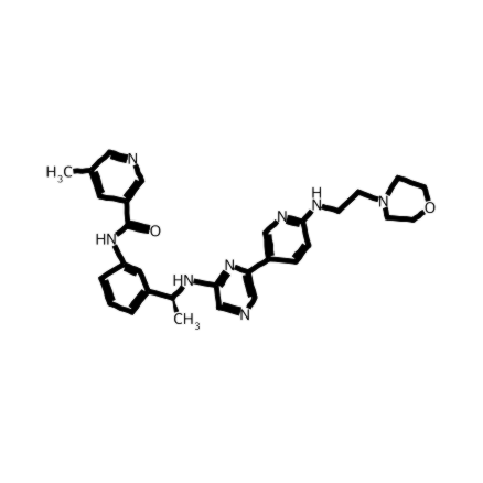 Cc1cncc(C(=O)Nc2cccc([C@H](C)Nc3cncc(-c4ccc(NCCN5CCOCC5)nc4)n3)c2)c1